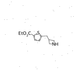 CCOC(=O)c1ccc(CC2CNC2)s1